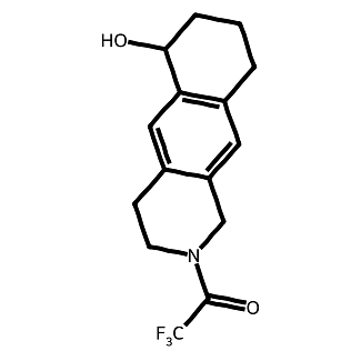 O=C(N1CCc2cc3c(cc2C1)CCCC3O)C(F)(F)F